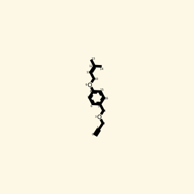 C#CCOCc1ccc(OCC=C(C)C)cc1